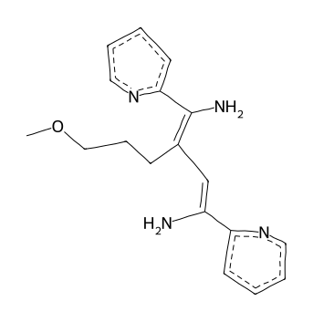 COCCCC(/C=C(\N)c1ccccn1)=C(/N)c1ccccn1